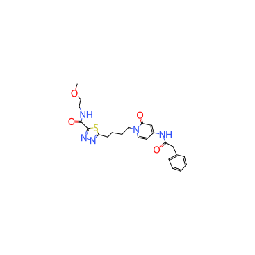 COCCNC(=O)c1nnc(CCCCn2ccc(NC(=O)Cc3ccccc3)cc2=O)s1